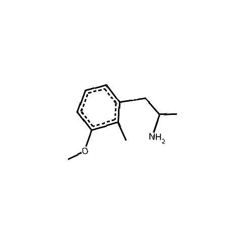 COc1cccc(CC(C)N)c1C